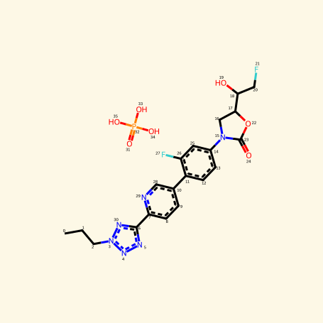 CCCn1nnc(-c2ccc(-c3ccc(N4CC(C(O)CF)OC4=O)cc3F)cn2)n1.O=P(O)(O)O